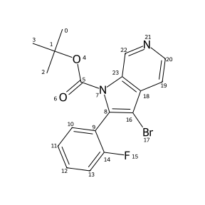 CC(C)(C)OC(=O)n1c(-c2ccccc2F)c(Br)c2ccncc21